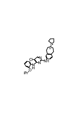 CC(C)Oc1ccccc1Nc1nc(Nc2ccc3c(c2)CC[C@@H](N2CCCC2)CC3)ncc1Cl